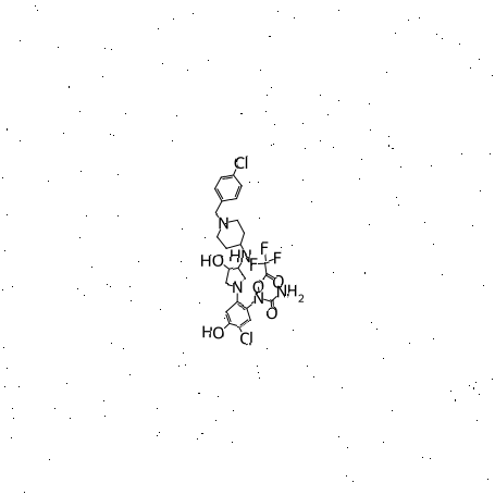 NC(=O)N(OC(=O)C(F)(F)F)c1cc(Cl)c(O)cc1N1CC(O)C(NC2CCN(Cc3ccc(Cl)cc3)CC2)C1